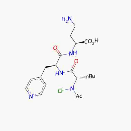 CCCC[C@@H](C(=O)N[C@@H](Cc1ccncc1)C(=O)N[C@@H](CCN)C(=O)O)N(Cl)C(C)=O